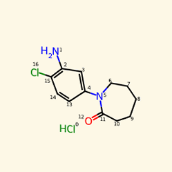 Cl.Nc1cc(N2CCCCCC2=O)ccc1Cl